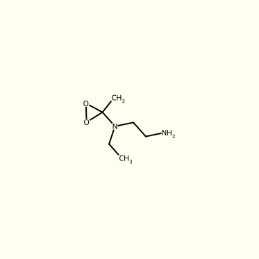 CCN(CCN)C1(C)OO1